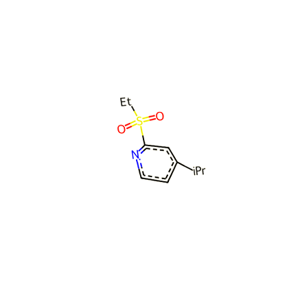 CCS(=O)(=O)c1cc(C(C)C)ccn1